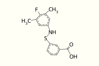 Cc1cc(NSc2cccc(C(=O)O)c2)cc(C)c1F